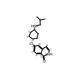 CC(C)CN[C@H]1CC[C@H](Oc2ccc3c(=O)[nH]ccc3c2)CC1